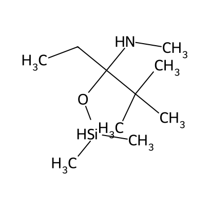 CCC(NC)(O[SiH](C)C)C(C)(C)C